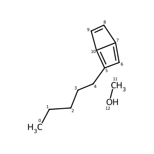 CCCCCc1cc2ccc1-2.CO